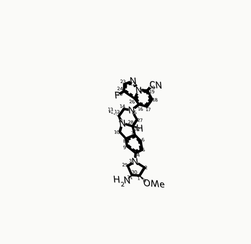 CO[C@@H]1CN(c2ccc3c(c2)CN2[C@H](C)CN(c4ccc(C#N)n5ncc(F)c45)C[C@H]32)C[C@H]1N